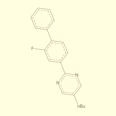 CCCCc1cnc(-c2ccc(-c3ccccc3)c(F)c2)nc1